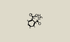 CSC(=O)c1ccccc1C(=O)O